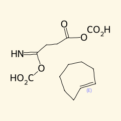 C1=C/CCCCCC/1.N=C(CCC(=O)OC(=O)O)OC(=O)O